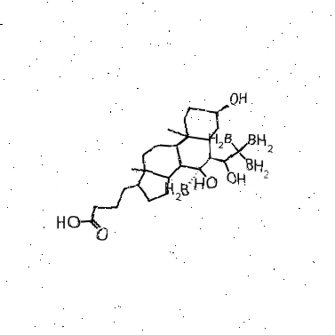 BC(B)(B)C(O)[C@@H]1C2C[C@H](O)CCC2(C)C2CCC3(C)C(CCCC(=O)O)CCC3C2[C@]1(B)O